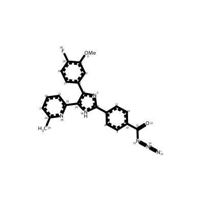 COc1cc(-c2nc(-c3ccc(C(=O)N=[N+]=[N-])cc3)[nH]c2-c2cccc(C)n2)ccc1F